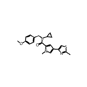 COc1ccc(CN(C(=O)c2cc(-c3csc(C)n3)cn2C)C2CC2)cc1